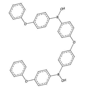 OB(c1ccc(Oc2ccccc2)cc1)c1ccc(Oc2ccc(B(O)c3ccc(Oc4ccccc4)cc3)cc2)cc1